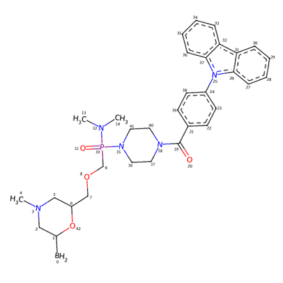 BC1CN(C)CC(COCP(=O)(N(C)C)N2CCN(C(=O)c3ccc(-n4c5ccccc5c5ccccc54)cc3)CC2)O1